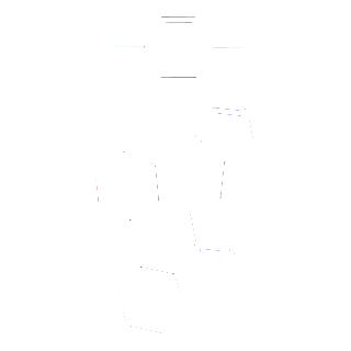 Fc1ccc(F)c(-c2noc(-c3cnn(C4CCCCC4)c3C3CCOCC3)n2)c1